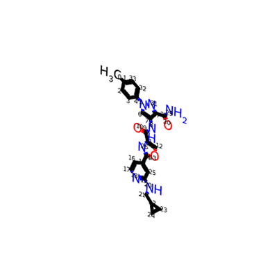 Cc1ccc(-n2cc(NC(=O)c3coc(-c4ccnc(NCC5CC5)c4)n3)c(C(N)=O)n2)cc1